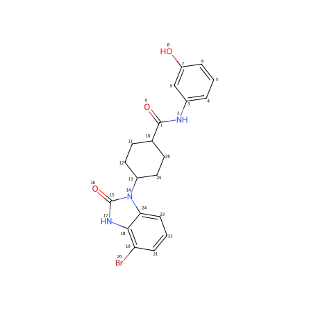 O=C(Nc1cccc(O)c1)C1CCC(n2c(=O)[nH]c3c(Br)cccc32)CC1